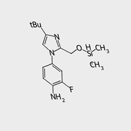 C[SiH](C)OCc1nc(C(C)(C)C)cn1-c1ccc(N)c(F)c1